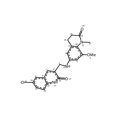 COc1cc(NCc2cc3cc(Cl)ccc3[nH]c2=O)cc2c1N(C)C(=O)CC2